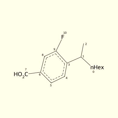 CCCCCCC(C)c1ccc(C(=O)O)cc1F